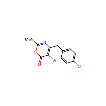 CNc1nc(Cc2ccc(Cl)cc2)c(Br)c(=O)o1